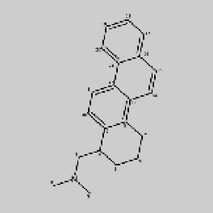 CN(C)CC1CCCc2c1ccc1c2ccc2ccccc21